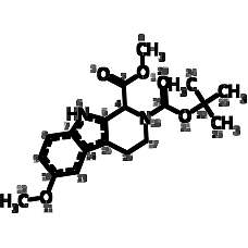 COC(=O)C1c2[nH]c3ccc(OC)cc3c2CCN1C(=O)OC(C)(C)C